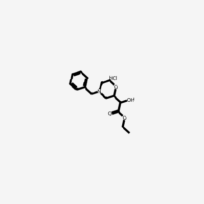 CCOC(=O)C(O)C1CN(Cc2ccccc2)CCO1.Cl